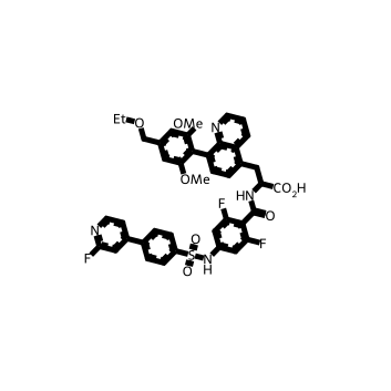 CCOCc1cc(OC)c(-c2ccc(CC(NC(=O)c3c(F)cc(NS(=O)(=O)c4ccc(-c5ccnc(F)c5)cc4)cc3F)C(=O)O)c3cccnc23)c(OC)c1